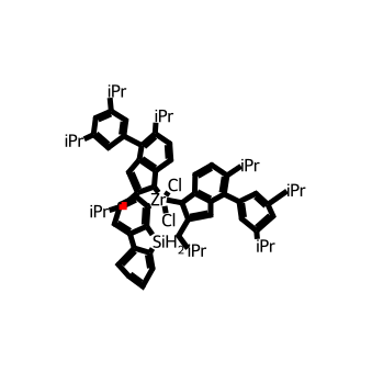 CC(C)CC1=Cc2c(ccc(C(C)C)c2-c2cc(C(C)C)cc(C(C)C)c2)[CH]1[Zr]([Cl])([Cl])([c]1cccc2c1[SiH2]c1ccccc1-2)[CH]1C(CC(C)C)=Cc2c1ccc(C(C)C)c2-c1cc(C(C)C)cc(C(C)C)c1